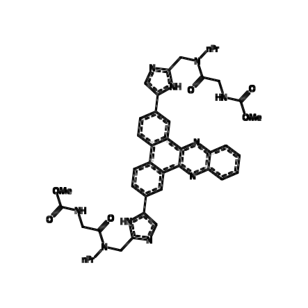 CCCN(Cc1ncc(-c2ccc3c4ccc(-c5cnc(CN(CCC)C(=O)CNC(=O)OC)[nH]5)cc4c4nc5ccccc5nc4c3c2)[nH]1)C(=O)CNC(=O)OC